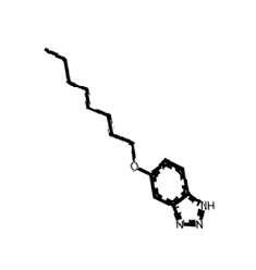 CCCCCCCCOc1ccc2[nH]nnc2c1